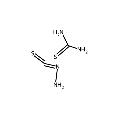 NC(N)=S.NN=C=S